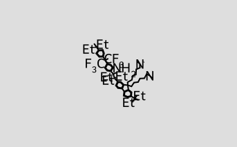 CCC(C)(CC)c1ccc(C(c2ccc(C(CC)(CN)C(CC)(CC)c3ccc4c(c3)C(CCCCCCN(C)C)(CCCCCCN(C)C)c3cc(C(C)(CC)CC)ccc3-4)cc2)(C(F)(F)F)C(F)(F)F)cc1